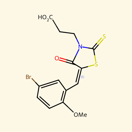 COc1ccc(Br)cc1/C=C1/SC(=S)N(CCC(=O)O)C1=O